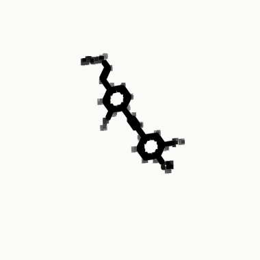 CCCCCC=Cc1ccc(C#Cc2ccc(C#N)c(F)c2)c(F)c1